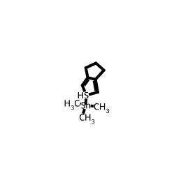 [CH3][Sn]([CH3])([CH3])[SH]1C=C2CCCC2=C1